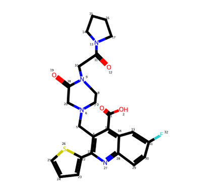 O=C(O)c1c(CN2CCN(CC(=O)N3CCCC3)C(=O)C2)c(-c2cccs2)nc2ccc(F)cc12